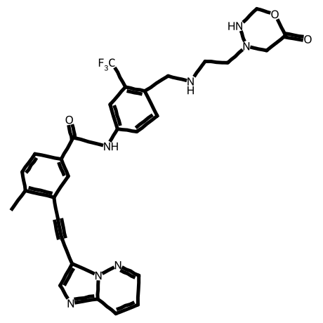 Cc1ccc(C(=O)Nc2ccc(CNCCN3CC(=O)OCN3)c(C(F)(F)F)c2)cc1C#Cc1cnc2cccnn12